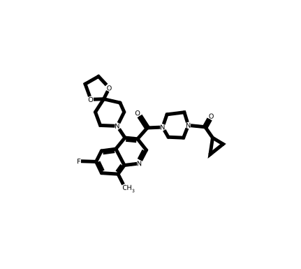 Cc1cc(F)cc2c(N3CCC4(CC3)OCCO4)c(C(=O)N3CCN(C(=O)C4CC4)CC3)cnc12